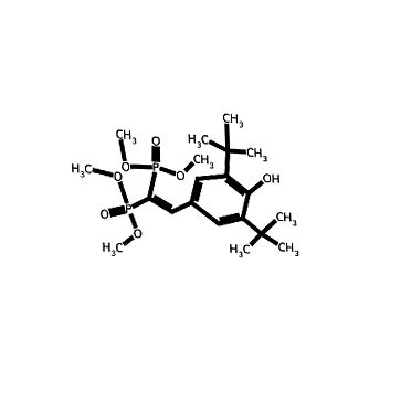 COP(=O)(OC)C(=Cc1cc(C(C)(C)C)c(O)c(C(C)(C)C)c1)P(=O)(OC)OC